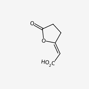 O=C(O)C=C1CCC(=O)O1